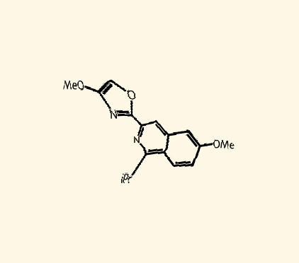 COc1ccc2c(C(C)C)nc(-c3nc(OC)co3)cc2c1